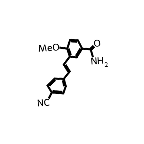 COc1ccc(C(N)=O)cc1C=Cc1ccc(C#N)cc1